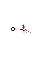 COC(=O)[C@@H](N)CCOCc1ccccc1